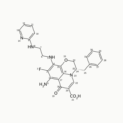 Nc1c(F)c(NCCNc2ccccn2)c2c3c1c(=O)c(C(=O)O)cn3[C@@H](Cc1ccccc1)CO2